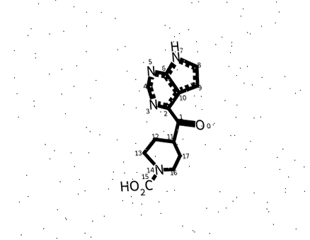 O=C(c1ncnc2[nH]ccc12)C1CCN(C(=O)O)CC1